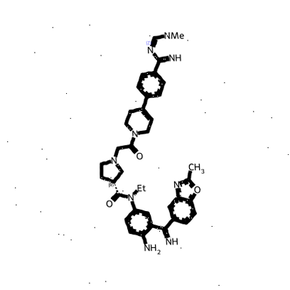 CCN(C(=O)[C@@H]1CCN(CC(=O)N2CC=C(c3ccc(C(=N)/N=C\NC)cc3)CC2)C1)c1ccc(N)c(C(=N)c2ccc3oc(C)nc3c2)c1